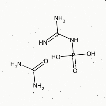 N=C(N)NP(=O)(O)O.NC(N)=O